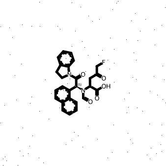 O=CN(C(CC(=O)CF)C(=O)O)[C@H](C(=O)N1CCc2ccccc21)c1cccc2ccccc12